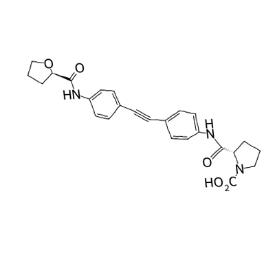 O=C(Nc1ccc(C#Cc2ccc(NC(=O)[C@@H]3CCCN3C(=O)O)cc2)cc1)[C@H]1CCCO1